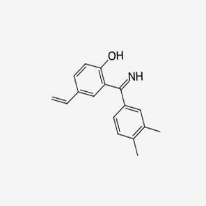 C=Cc1ccc(O)c(C(=N)c2ccc(C)c(C)c2)c1